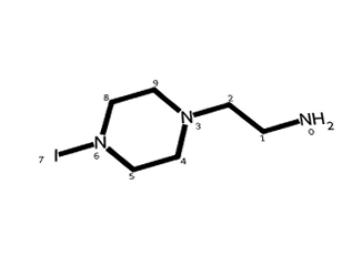 NCCN1CCN(I)CC1